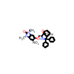 COC(=O)[C@H](COc1cc2c(cc1[N+](=O)[O-])n(C)c(=O)n2C)NC(c1ccccc1)(c1ccccc1)c1ccccc1